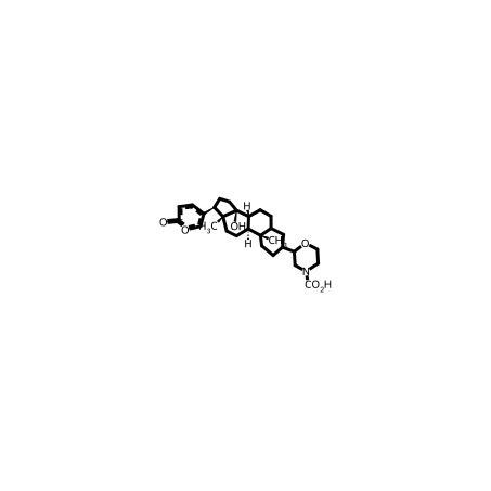 C[C@]12CCC(C3CN(C(=O)O)CCO3)CC1CC[C@@H]1[C@@H]2CC[C@]2(C)[C@@H](c3ccc(=O)oc3)CC[C@]12O